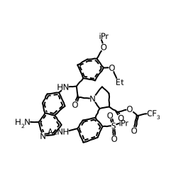 CCOc1cc(C(Nc2ccc3c(N)nccc3c2)C(=O)N2CCC(C(=O)OC(=O)C(F)(F)F)C2c2cc(NC(C)=O)ccc2S(=O)(=O)C(C)C)ccc1OC(C)C